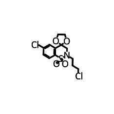 O=S1(=O)c2ccc(Cl)cc2C2(CN1CCCCl)OCCO2